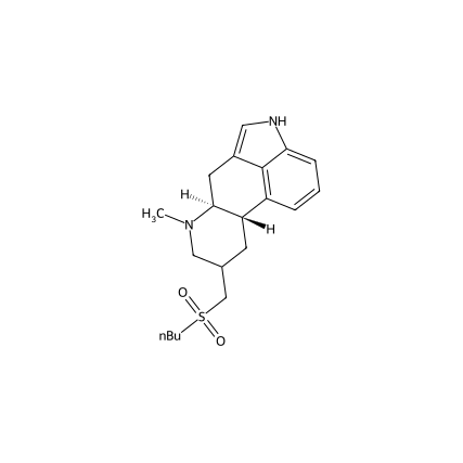 CCCCS(=O)(=O)CC1C[C@H]2c3cccc4[nH]cc(c34)C[C@@H]2N(C)C1